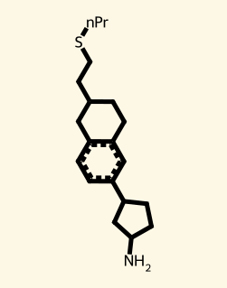 CCCSCCC1CCc2cc(C3CCC(N)C3)ccc2C1